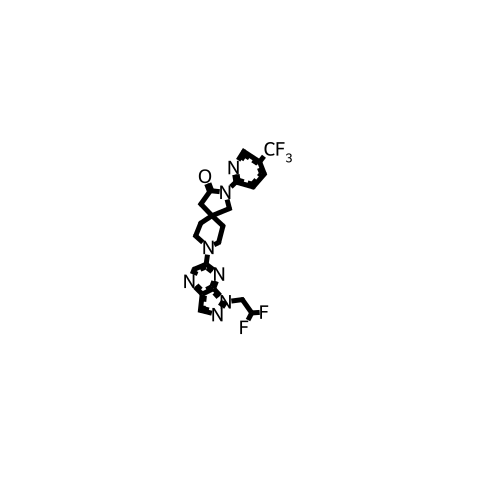 O=C1CC2(CCN(c3cnc4cnn(CC(F)F)c4n3)CC2)CN1c1ccc(C(F)(F)F)cn1